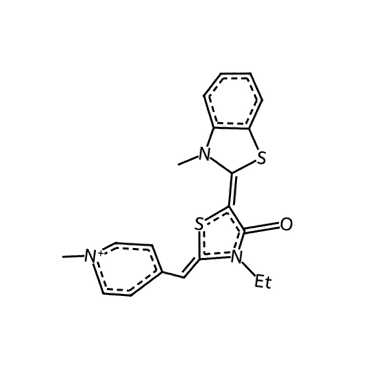 CCn1c(=O)/c(=C2\Sc3ccccc3N2C)s/c1=C\c1cc[n+](C)cc1